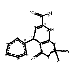 CC1(C)CC(=O)C2=C(C1)NC(C(=O)O)=CC2c1ccccc1